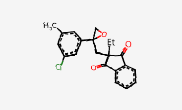 CCC1(CC2(c3cc(C)cc(Cl)c3)CO2)C(=O)c2ccccc2C1=O